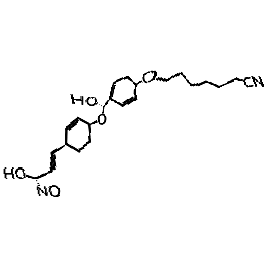 N#CCCCCCCO[C@H]1C=CC([C@@H](O)O[C@@H]2C=C[C@H](/C=C/[C@@H](O)N=O)CC2)=CC1